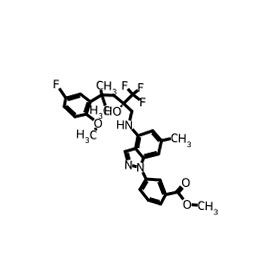 COC(=O)c1cccc(-n2ncc3c(NC[C@@](O)(CC(C)(C)c4cc(F)ccc4OC)C(F)(F)F)cc(C)cc32)c1